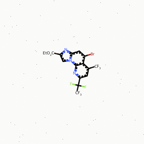 CCOC(=O)c1cn2c(cc(Br)c3c(C(F)(F)F)cc(C(F)(F)C(F)(F)F)nc32)n1